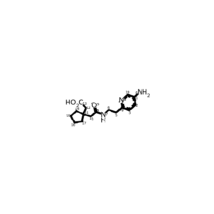 Nc1ccc(CCNC(=O)CC2(CC(=O)O)CCCC2)nc1